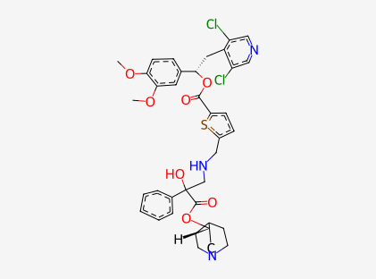 COc1ccc([C@H](Cc2c(Cl)cncc2Cl)OC(=O)c2ccc(CNCC(O)(C(=O)O[C@H]3CN4CCC3CC4)c3ccccc3)s2)cc1OC